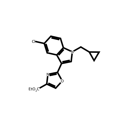 CCOC(=O)c1coc(-c2cn(CC3CC3)c3ccc(Cl)cc23)n1